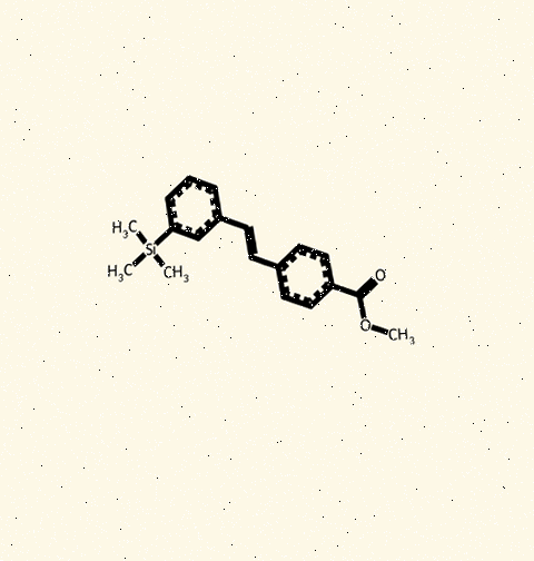 COC(=O)c1ccc(C=Cc2cccc([Si](C)(C)C)c2)cc1